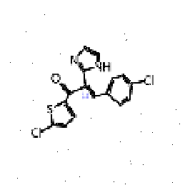 O=C(/C(=C/c1ccc(Cl)cc1)c1ncc[nH]1)c1ccc(Cl)s1